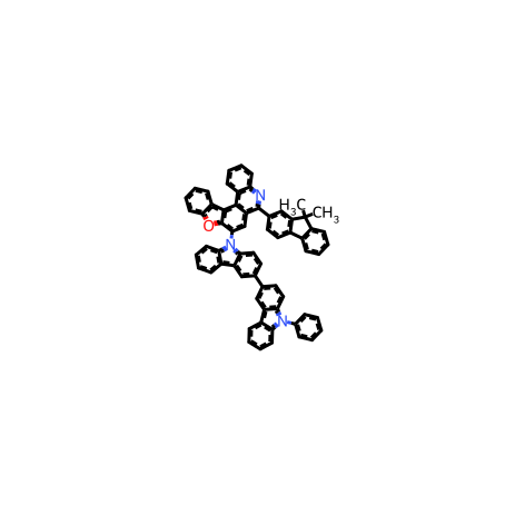 CC1(C)c2ccccc2-c2ccc(-c3nc4ccccc4c4c3cc(-n3c5ccccc5c5cc(-c6ccc7c(c6)c6ccccc6n7-c6ccccc6)ccc53)c3oc5ccccc5c34)cc21